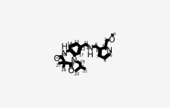 COCc1ncccc1CNCc1ccc2c(c1)N(CC(C)C)C(=O)C(C)(C)C(=O)N2